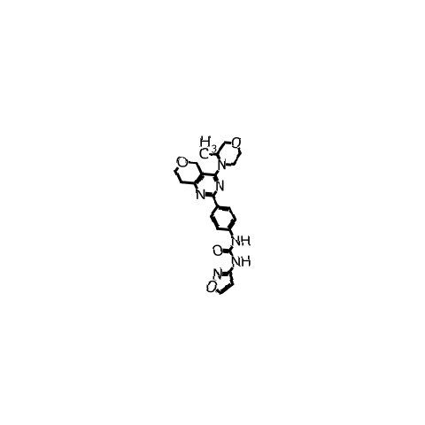 CC1COCCN1c1nc(-c2ccc(NC(=O)Nc3ccon3)cc2)nc2c1COCC2